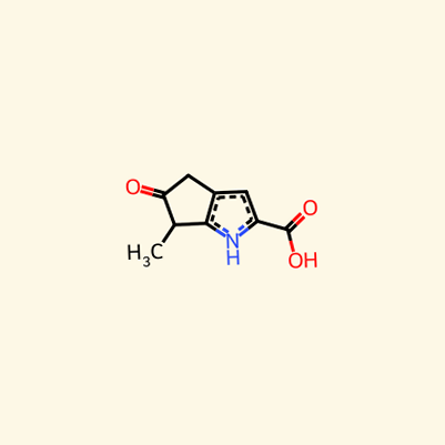 CC1C(=O)Cc2cc(C(=O)O)[nH]c21